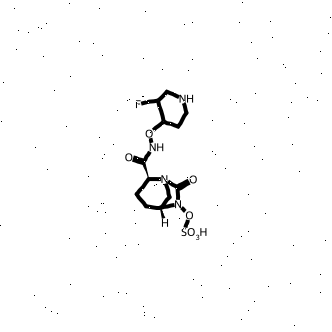 O=C(NOC1CCNCC1F)[C@@H]1CC[C@@H]2CN1C(=O)N2OS(=O)(=O)O